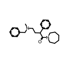 CN(CCC(C(=O)N1CCCCCC1)c1ccccc1)Cc1ccccc1